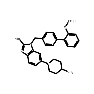 CCCCc1nc2ccc(N3CCC(C)CC3)cc2n1Cc1ccc(-c2ccccc2OC(=O)O)cc1